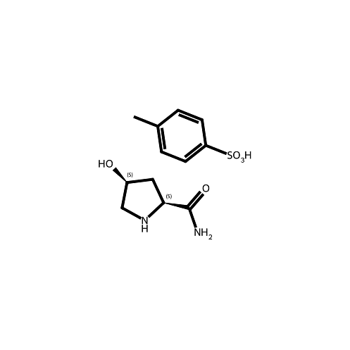 Cc1ccc(S(=O)(=O)O)cc1.NC(=O)[C@@H]1C[C@H](O)CN1